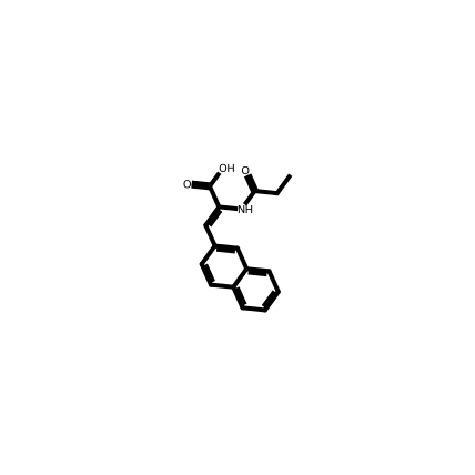 CCC(=O)NC(=Cc1ccc2ccccc2c1)C(=O)O